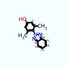 Cc1cc(O)cc(C)c1-n1nc2ccccc2n1